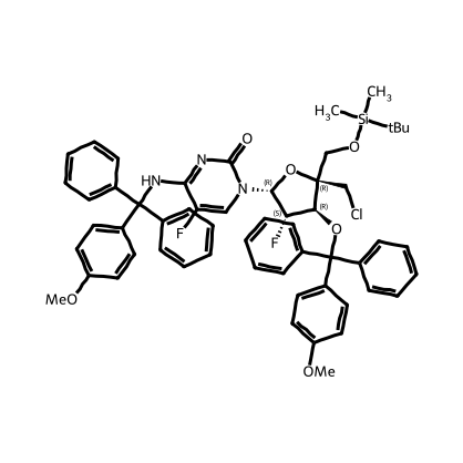 COc1ccc(C(Nc2nc(=O)n([C@@H]3O[C@](CCl)(CO[Si](C)(C)C(C)(C)C)[C@@H](OC(c4ccccc4)(c4ccccc4)c4ccc(OC)cc4)[C@@H]3F)cc2F)(c2ccccc2)c2ccccc2)cc1